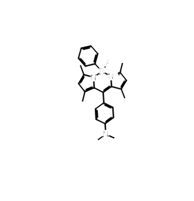 CC1=CC(C)=[N+]2C1=C(c1ccc(N(C)C)cc1)c1c(C)cc(C)n1[B-]2(F)c1ccccc1